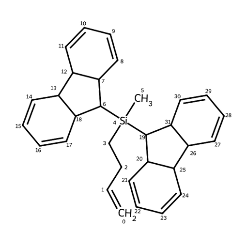 C=CCC[Si](C)(C1C2C=CC=CC2C2C=CC=CC21)C1C2C=CC=CC2C2C=CC=CC21